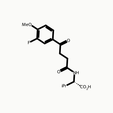 COc1ccc(C(=O)CCC(=O)N[C@H](C(=O)O)C(C)C)cc1F